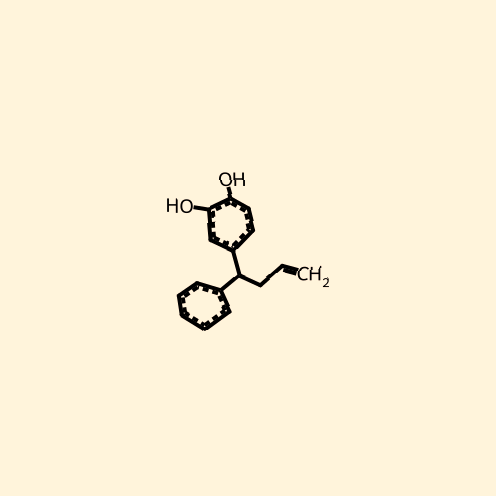 C=CCC(c1ccccc1)c1ccc(O)c(O)c1